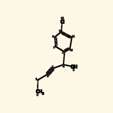 CCC#CC(O)c1ccc(Cl)cc1